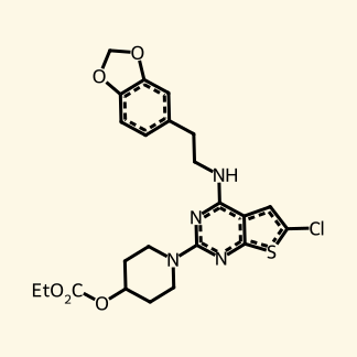 CCOC(=O)OC1CCN(c2nc(NCCc3ccc4c(c3)OCO4)c3cc(Cl)sc3n2)CC1